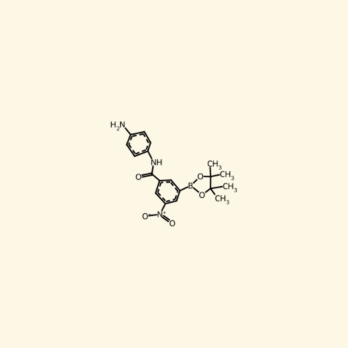 CC1(C)OB(c2cc(C(=O)Nc3ccc(N)cc3)cc([N+](=O)[O-])c2)OC1(C)C